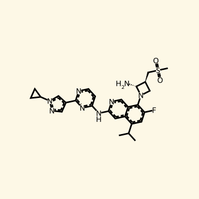 CC(C)c1cc(F)c(N2C[C@H](CS(C)(=O)=O)[C@H]2N)c2cnc(Nc3ccnc(-c4cnn(C5CC5)c4)n3)cc12